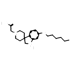 CCCCCCOc1ccc2c(c1)OCC21CCN(CC(=O)O)CC1.Cl